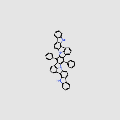 c1ccc(-c2c3c4cccc5c6c7[nH]c8ccccc8c7ccc6n(c3c(-c3ccccc3)c3c6cccc7c8c9[nH]c%10ccccc%10c9ccc8n(c23)c67)c45)cc1